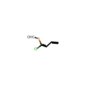 C=C/C=C(/Cl)SC=O